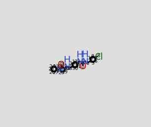 O=C(NCc1ccc(Cl)cc1)Nc1ccc(CNC2CCN(c3ccccc3)C2=O)cc1